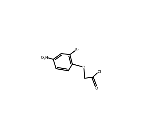 O=C(Cl)COc1ccc([N+](=O)[O-])cc1Br